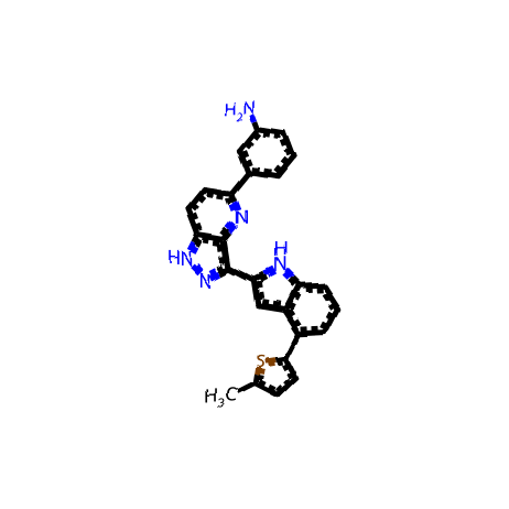 Cc1ccc(-c2cccc3[nH]c(-c4n[nH]c5ccc(-c6cccc(N)c6)nc45)cc23)s1